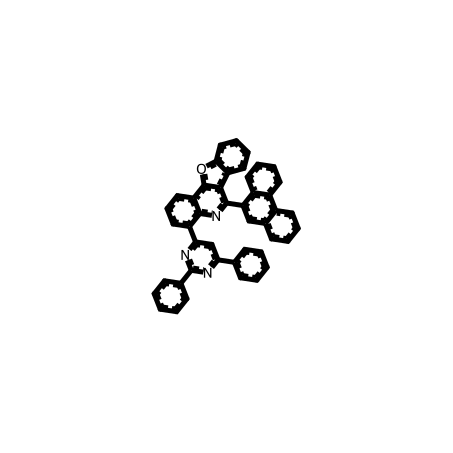 c1ccc(-c2cc(-c3cccc4c3nc(-c3cc5ccccc5c5ccccc35)c3c5ccccc5oc43)nc(-c3ccccc3)n2)cc1